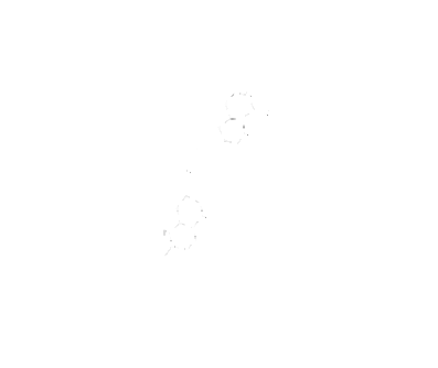 CCc1cc2ncc(CN3CCC(c4cnc5c(NC)nccc5c4)CC3)cc2[nH]c1=O